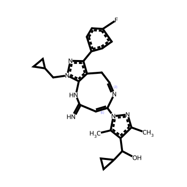 Cc1nn(C2=C/C(=N)Nc3c(c(-c4ccc(F)cc4)nn3CC3CC3)C/C=N\2)c(C)c1C(O)C1CC1